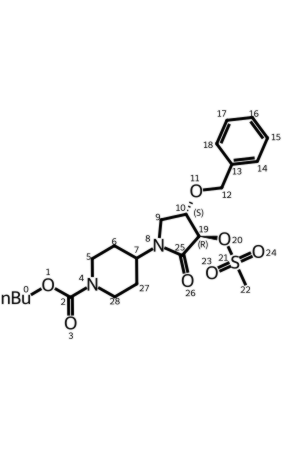 CCCCOC(=O)N1CCC(N2C[C@H](OCc3ccccc3)[C@@H](OS(C)(=O)=O)C2=O)CC1